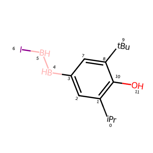 CC(C)c1cc(BBI)cc(C(C)(C)C)c1O